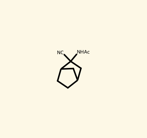 CC(=O)NC1(C#N)CC2CCC1C2